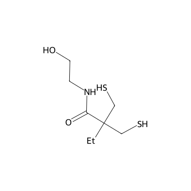 CCC(CS)(CS)C(=O)NCCO